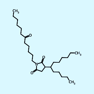 CCCCCCC(=O)CCCCCN1C(=O)CC(C(CCCCC)CCCCCC)C1=O